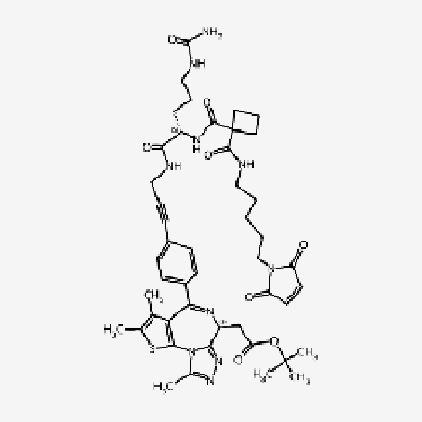 Cc1sc2c(c1C)C(c1ccc(C#CCNC(=O)[C@H](CCCNC(N)=O)NC(=O)C3(C(=O)NCCCCCN4C(=O)C=CC4=O)CCC3)cc1)=N[C@@H](CC(=O)OC(C)(C)C)c1nnc(C)n1-2